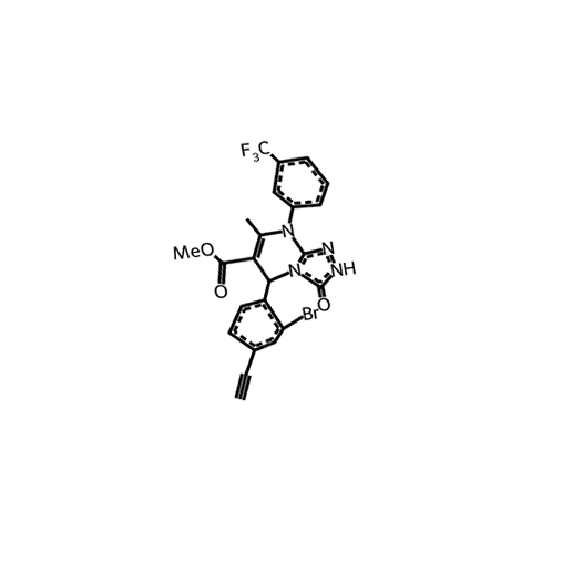 C#Cc1ccc(C2C(C(=O)OC)=C(C)N(c3cccc(C(F)(F)F)c3)c3n[nH]c(=O)n32)c(Br)c1